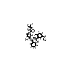 Cc1ccc(C=O)cc1-c1nc(N[C@H]2CCN(C(=O)OC(C)(C)C)C2)c2ccccc2n1